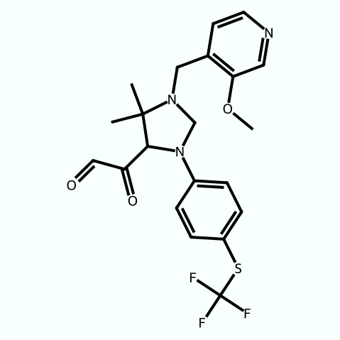 COc1cnccc1CN1CN(c2ccc(SC(F)(F)F)cc2)C(C(=O)C=O)C1(C)C